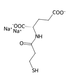 O=C([O-])CC[C@H](NC(=O)CCS)C(=O)[O-].[Na+].[Na+]